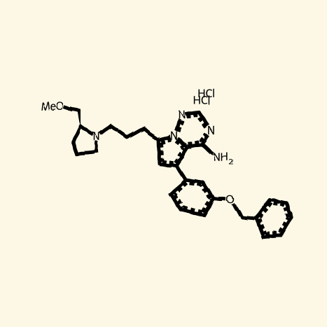 COC[C@@H]1CCCN1CCCc1cc(-c2cccc(OCc3ccccc3)c2)c2c(N)ncnn12.Cl.Cl